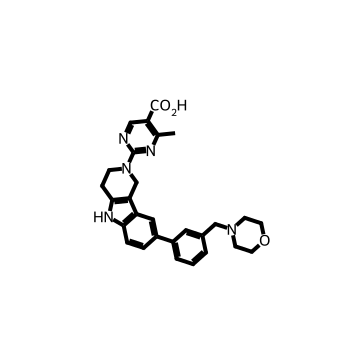 Cc1nc(N2CCc3[nH]c4ccc(-c5cccc(CN6CCOCC6)c5)cc4c3C2)ncc1C(=O)O